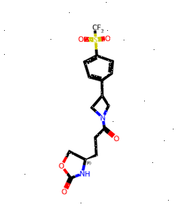 O=C1N[C@H](CCC(=O)N2CC(c3ccc(S(=O)(=O)C(F)(F)F)cc3)C2)CO1